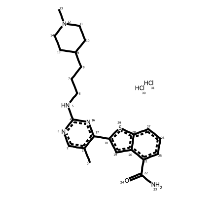 Cc1cnc(NCCCC2CCN(C)CC2)nc1-c1cc2c(C(N)=O)cccc2s1.Cl.Cl